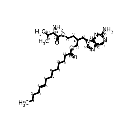 CCCCC=CCCCCCCCC(=O)OCC(CCOC(=O)[C@@H](N)C(C)C)Cn1cnc2cnc(N)nc21